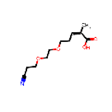 CC(=CCCOCCOCCC#N)C(=O)O